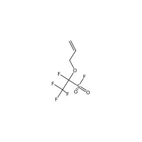 C=CCOC(F)(C(F)(F)F)S(=O)(=O)F